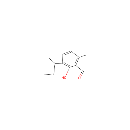 CCC(C)c1ccc(C)c(C=O)c1O